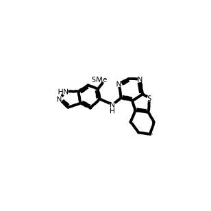 CSc1cc2[nH]ncc2cc1Nc1ncnc2sc3c(c12)CC[CH]C3